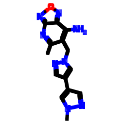 Cc1nc2nonc2c(N)c1Cn1cc(-c2cnn(C)c2)cn1